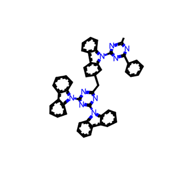 Cc1nc(-c2ccccc2)nc(-n2c3ccccc3c3ccc(Cc4nc(-n5c6ccccc6c6ccccc65)nc(-n5c6ccccc6c6ccccc65)n4)cc32)n1